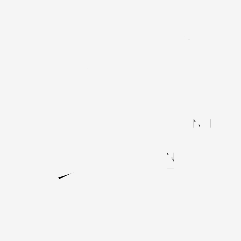 O=C1NC(O)NC([C@H]2CC[C@H](c3ccccc3)CC2)=C1Cc1cc(Cl)ccc1Cl